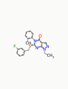 CCn1ncc2c(=O)n(-c3ccccc3C)c(SCc3cccc(F)c3)nc21